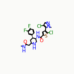 CNC(=O)CC1C[C@@H](c2ccc(F)c(F)c2)[C@H](NC(=O)c2cc(-c3c(Cl)cnn3C)c(Cl)s2)CN1